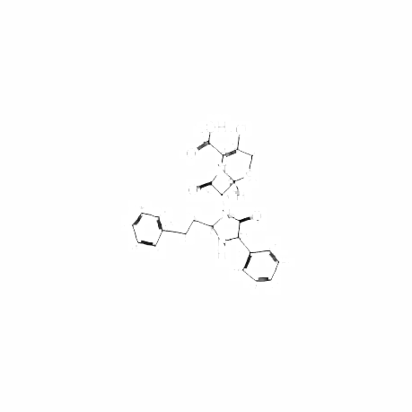 O=C(O)C1=C(Cl)CS[C@@H]2[C@H](N3C(=O)C(c4ccccc4)NC3CCc3ccccc3)C(=O)N12